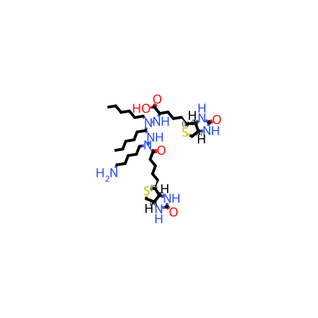 CCCCCCN(NC(CCC[C@@H]1SC[C@@H]2NC(=O)N[C@@H]21)C(=O)O)C(CCCCC)NN(CCCCCN)C(=O)CCCC[C@@H]1SC[C@@H]2NC(=O)N[C@@H]21